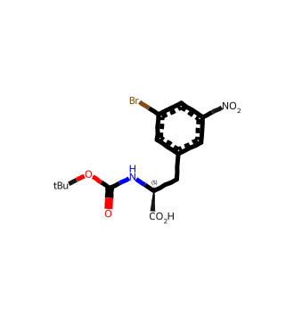 CC(C)(C)OC(=O)N[C@@H](Cc1cc(Br)cc([N+](=O)[O-])c1)C(=O)O